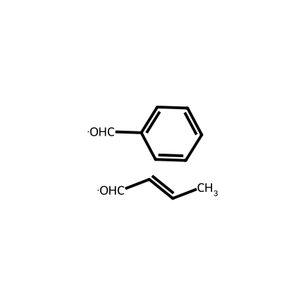 CC=C[C]=O.O=[C]c1ccccc1